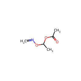 C=NOC(C)OC(C)=O